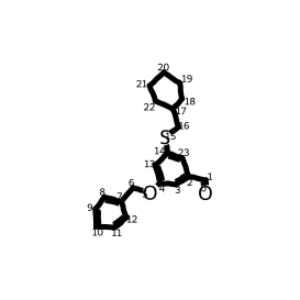 O=Cc1cc(OCc2ccccc2)cc(SCC2CCCCC2)c1